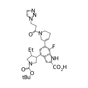 CCC1CN(C(=O)OC(C)(C)C)CC1c1cc(C2=CCCN(C(=O)CCn3ccnn3)C2)c(F)c2[nH]c(C(=O)O)cc12